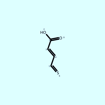 O=C(O)C=C[C]=S